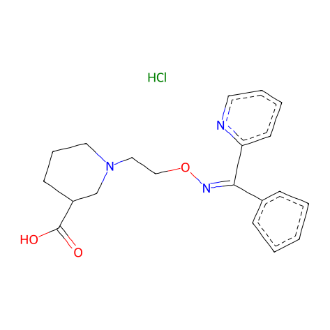 Cl.O=C(O)C1CCCN(CCON=C(c2ccccc2)c2ccccn2)C1